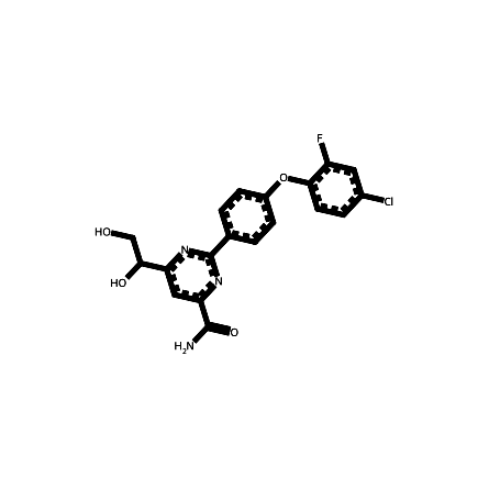 NC(=O)c1cc(C(O)CO)nc(-c2ccc(Oc3ccc(Cl)cc3F)cc2)n1